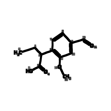 CCC(C(=O)O)c1ccc(C=O)cc1OC